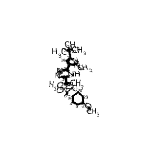 CO[C@H]1CC[C@H](CS(=O)(=O)C(C)(C)c2nnc(-c3cc(C(C)(C)C)nn3C)[nH]2)CC1